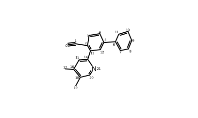 C#Cc1ccc(-c2ccccc2)cc1-c1cc(C)c(C)cn1